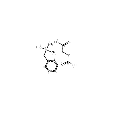 C[N+](C)(C)Cc1ccccc1.O=C(O)CCC(=O)O